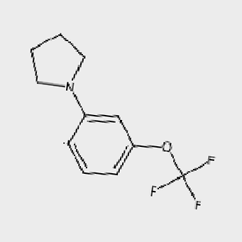 FC(F)(F)Oc1cc[c]c(N2CCCC2)c1